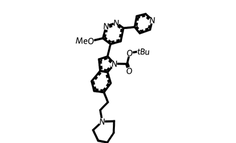 COc1nnc(-c2ccncc2)cc1-c1cc2ccc(CCN3CCCCC3)cc2n1C(=O)OC(C)(C)C